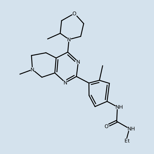 CCNC(=O)Nc1ccc(-c2nc3c(c(N4CCOCC4C)n2)CCN(C)C3)c(C)c1